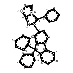 c1ccc(-c2c(-c3ccc4c(c3)C(c3ccccc3)(c3ccccc3)c3ccccc3-4)nc3occn23)cc1